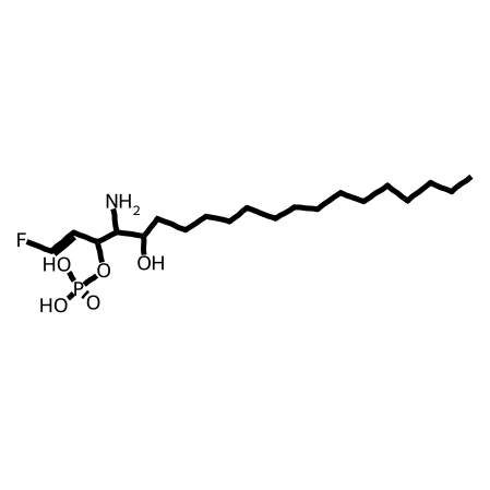 CCCCCCCCCCCCCCCC(O)C(N)C(C=CF)OP(=O)(O)O